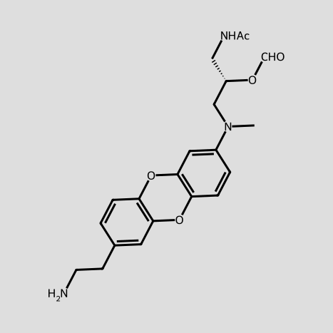 CC(=O)NC[C@@H](CN(C)c1ccc2c(c1)Oc1ccc(CCN)cc1O2)OC=O